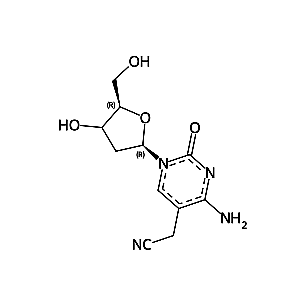 N#CCc1cn([C@H]2CC(O)[C@@H](CO)O2)c(=O)nc1N